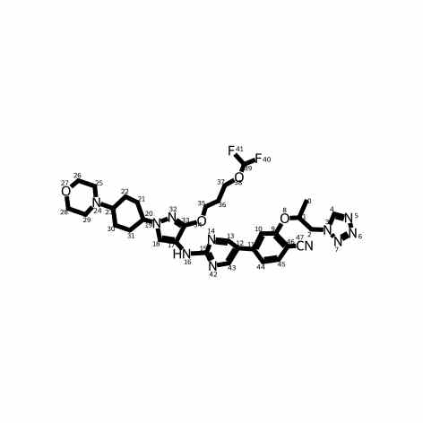 CC(Cn1cnnn1)Oc1cc(-c2cnc(Nc3cn(C4CCC(N5CCOCC5)CC4)nc3OCCCOC(F)F)nc2)ccc1C#N